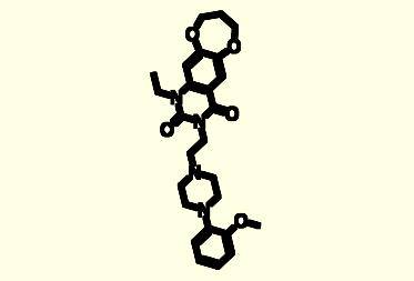 CCn1c(=O)n(CCN2CCN(c3ccccc3OC)CC2)c(=O)c2cc3c(cc21)OCCCO3